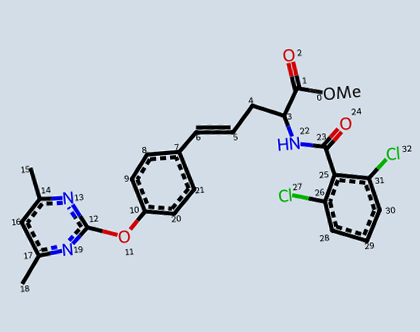 COC(=O)C(CC=Cc1ccc(Oc2nc(C)cc(C)n2)cc1)NC(=O)c1c(Cl)cccc1Cl